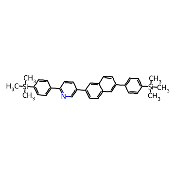 C[Si](C)(C)c1ccc(-c2ccc3cc(-c4ccc(-c5ccc([Si](C)(C)C)cc5)nc4)ccc3c2)cc1